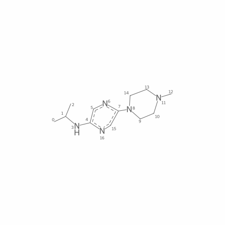 CC(C)Nc1cnc(N2CCN(C)CC2)cn1